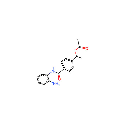 CC(=O)OC(C)c1ccc(C(=O)Nc2ccccc2N)cc1